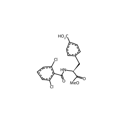 COC(=O)[C@H](Cc1ccc(C(=O)O)cc1)NC(=O)c1c(Cl)cccc1Cl